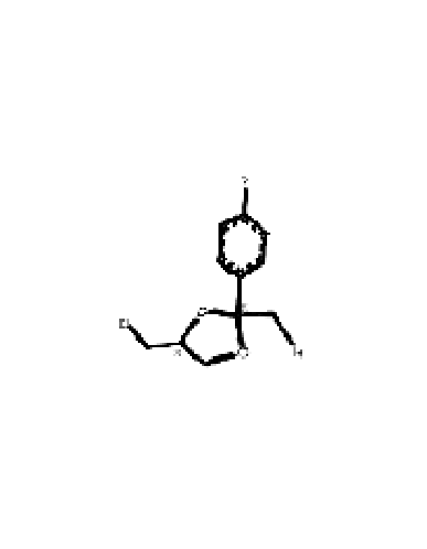 Fc1ccc([C@]2(CBr)OC[C@@H](CCl)O2)cc1